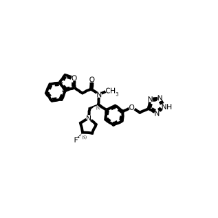 CN(C(=O)Cc1occ2ccccc12)[C@H](CN1CC[C@H](F)C1)c1cccc(OCc2nn[nH]n2)c1